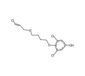 Oc1cc(Cl)c(OCCCCOCC=CCl)c(Cl)c1